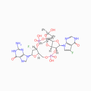 CC(C)[Si](O)(O[Si](O[C@H]1[C@H]2OP(=O)(O)OC[C@H]3O[C@@H](n4cnc5c(=O)[nH]c(N)nc54)[C@H](F)[C@@H]3OP(=O)(O)OC[C@H]1O[C@H]2n1cc(F)c2c(=O)[nH]cnc21)(C(C)C)C(C)C)C(C)C